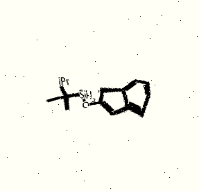 CC(C)C(C)(C)[SiH2]OC1=Cc2ccccc2[CH]1